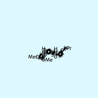 COc1cc(NS(=O)(=O)c2ccc(NC(=S)NC(=O)c3cccc(OCCC(C)C)c3)cc2)nc(OC)n1